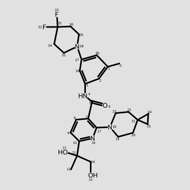 Cc1cc(NC(=O)c2ccc(C(C)(O)CO)nc2N2CCC3(CC2)CC3)cc(N2CCC(F)(F)CC2)c1